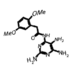 COc1ccc(OC)c(CC(=O)Nc2nc(N)nc(N)c2N)c1